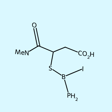 CNC(=O)C(CC(=O)O)SB(P)I